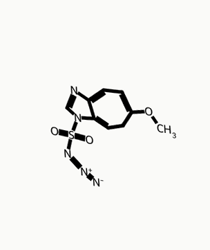 COC1=CC=c2ncn(S(=O)(=O)N=[N+]=[N-])c2=CC1